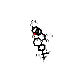 COc1cccc(O[C@@H]2CCc3cc(C(O)(C(F)(F)F)C(F)(F)F)ccc3N(C(=O)[C@@H](C)c3ccccc3)C2)c1